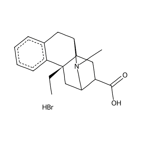 Br.CC[C@]12CC3C(C(=O)O)CC1C(Cc1ccccc12)N3C